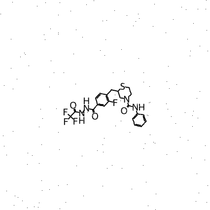 O=C(NNC(=O)C(F)(F)F)c1ccc(CC2CN(C(=O)Nc3ccccc3)CCS2)c(F)c1